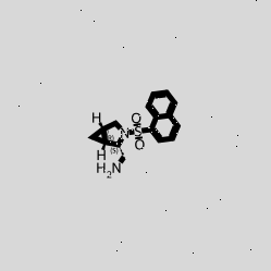 NC[C@@H]1[C@@H]2C[C@@H]2CN1S(=O)(=O)c1cccc2ccccc12